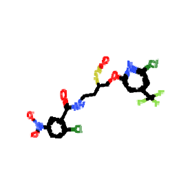 O=[S+]C(CCNC(=O)c1cc([N+](=O)[O-])ccc1Cl)COc1cc(C(F)(F)F)cc(Cl)n1